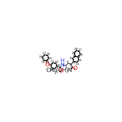 CN(O)C(=O)C(CCNC(=O)c1ccc(Oc2ccccc2)cc1)c1ccc2ccccc2c1